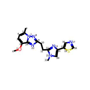 COc1ccc(C)n2nc(CCc3nc(-c4cncs4)cn3C)nc12